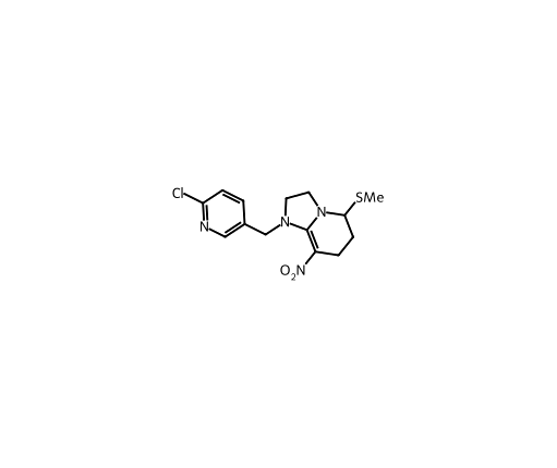 CSC1CCC([N+](=O)[O-])=C2N(Cc3ccc(Cl)nc3)CCN21